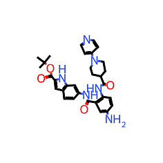 CC(C)(C)OC(=O)c1cc2ccc(NC(=O)c3cc(N)ccc3NC(=O)C3CCN(c4ccncc4)CC3)cc2[nH]1